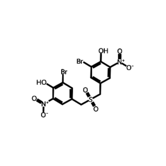 O=[N+]([O-])c1cc(CS(=O)(=O)Cc2cc(Br)c(O)c([N+](=O)[O-])c2)cc(Br)c1O